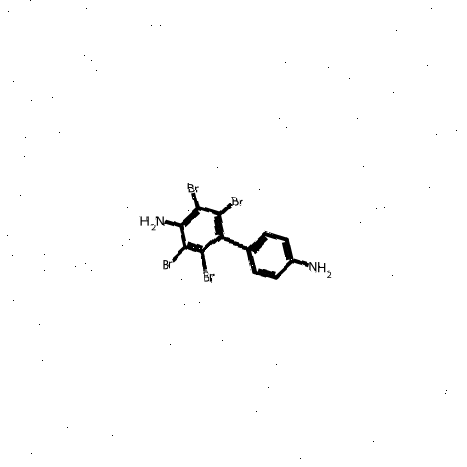 Nc1ccc(-c2c(Br)c(Br)c(N)c(Br)c2Br)cc1